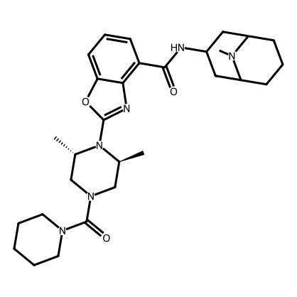 C[C@H]1CN(C(=O)N2CCCCC2)C[C@H](C)N1c1nc2c(C(=O)NC3CC4CCCC(C3)N4C)cccc2o1